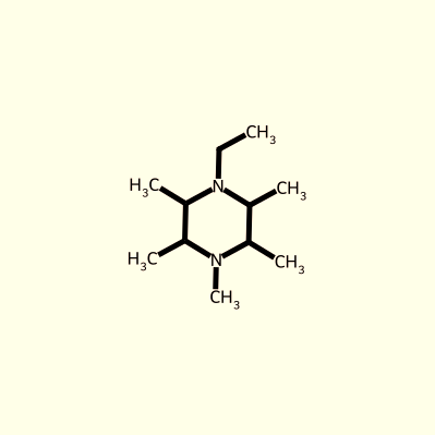 CCN1C(C)C(C)N(C)C(C)C1C